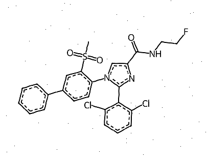 CS(=O)(=O)c1cc(-c2ccccc2)ccc1-n1cc(C(=O)NCCF)nc1-c1c(Cl)cccc1Cl